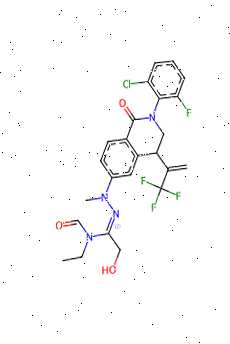 C=C(C1CN(c2c(F)cccc2Cl)C(=O)c2ccc(N(C)/N=C(/CO)N(C=O)CC)cc21)C(F)(F)F